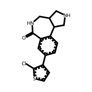 O=C1NCC2CNCC2c2ccc(-c3ccsc3Cl)cc21